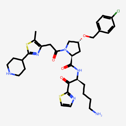 Cc1sc(C2CCNCC2)nc1CC(=O)N1C[C@H](OCc2ccc(Cl)cc2)C[C@H]1C(=O)N[C@@H](CCCCN)C(=O)c1nccs1